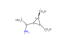 NC(C(=O)O)C1C(C(=O)O)[C@@H]1C(=O)O